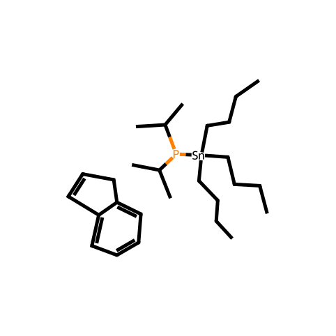 C1=Cc2ccccc2C1.CCC[CH2][Sn]([CH2]CCC)([CH2]CCC)[P](C(C)C)C(C)C